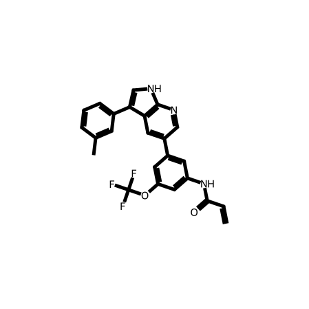 C=CC(=O)Nc1cc(OC(F)(F)F)cc(-c2cnc3[nH]cc(-c4cccc(C)c4)c3c2)c1